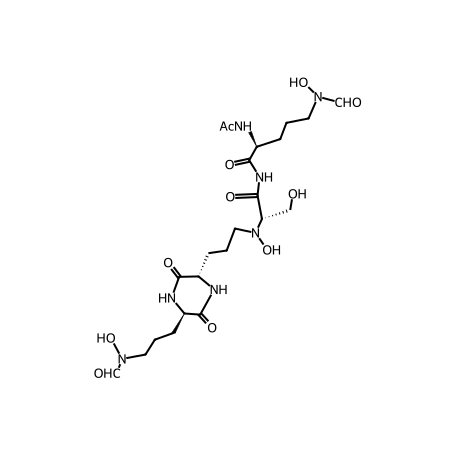 CC(=O)N[C@@H](CCCN(O)C=O)C(=O)NC(=O)[C@H](CO)N(O)CCC[C@@H]1NC(=O)[C@@H](CCCN(O)C=O)NC1=O